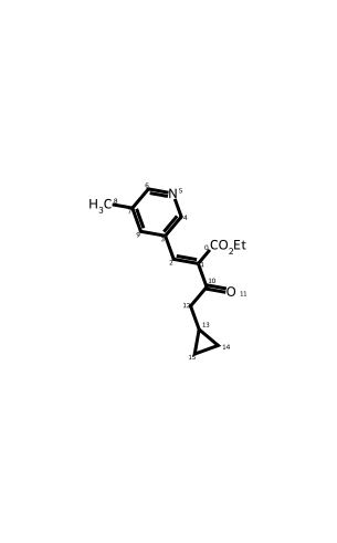 CCOC(=O)/C(=C\c1cncc(C)c1)C(=O)CC1CC1